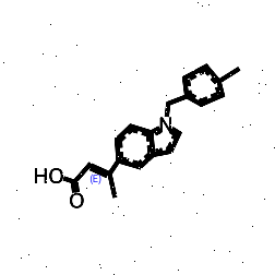 C/C(=C\C(=O)O)c1ccc2c(ccn2Cc2ccc(C)cc2)c1